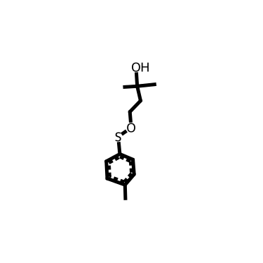 Cc1ccc(SOCCC(C)(C)O)cc1